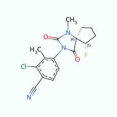 Cc1c(N2C(=O)N(C)[C@]3(CCC[C@@H]3F)C2=O)ccc(C#N)c1Cl